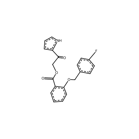 O=C(COC(=O)c1ccccc1OCc1ccc(F)cc1)c1ccc[nH]1